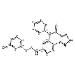 O=c1c2c[nH]nc2c2cnc(NCCc3cccc(Cl)c3)nc2n1-c1ccccc1